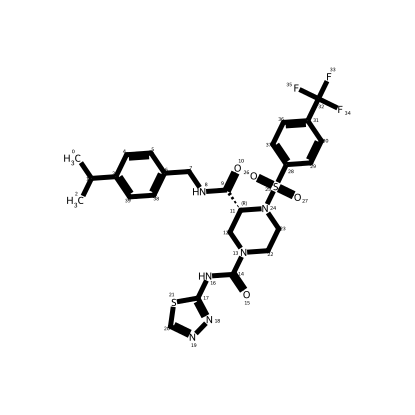 CC(C)c1ccc(CNC(=O)[C@H]2CN(C(=O)Nc3nncs3)CCN2S(=O)(=O)c2ccc(C(F)(F)F)cc2)cc1